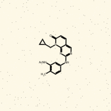 CC(=O)Nc1cc(Nc2ncc3ccc(=O)n(CC4CC4)c3n2)ccc1C